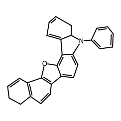 C1=CCC2C(=C1)c1c(ccc3c1oc1c4c(ccc13)CCC=C4)N2c1ccccc1